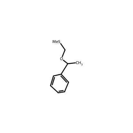 CSCOC(C)c1ccccc1